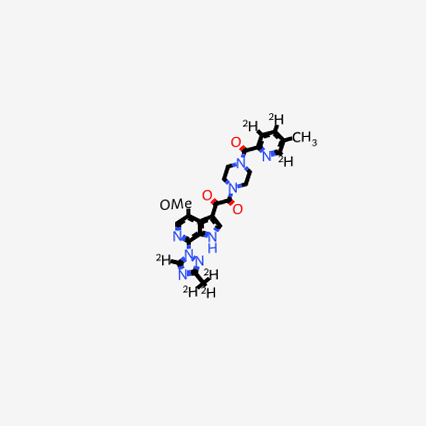 [2H]c1nc(C(=O)N2CCN(C(=O)C(=O)c3c[nH]c4c(-n5nc(C([2H])([2H])[2H])nc5[2H])ncc(OC)c34)CC2)c([2H])c([2H])c1C